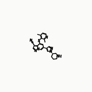 Cc1ccnc(C)c1Sc1cc(-c2cnn([C@H]3CCCNC3)c2)cn2ncc(C#N)c12